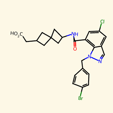 O=C(O)CC1CC2(C1)CC(NC(=O)c1cc(Cl)cc3cnn(Cc4ccc(Br)cc4)c13)C2